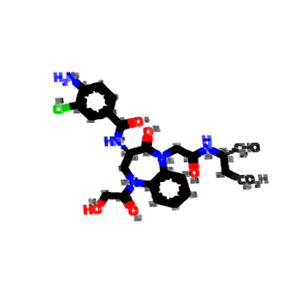 Nc1ccc(C(=O)N[C@H]2CN(C(=O)CO)c3ccccc3N(CC(=O)N[C@H](C=O)CC(=O)O)C2=O)cc1Cl